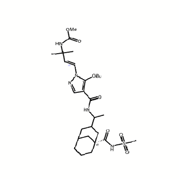 COC(=O)NC(C)(C)/C=C/n1ncc(C(=O)NC(C)C2CC3CCC[C@@](C(=O)NS(C)(=O)=O)(C3)C2)c1OCC(C)C